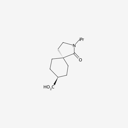 CC(C)N1CC[C@]2(CC[C@H](C(=O)O)CC2)C1=O